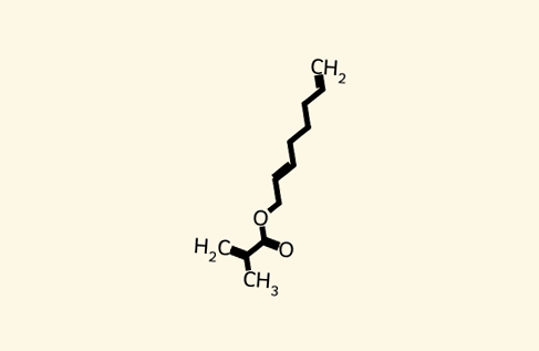 C=CCCC/C=C/COC(=O)C(=C)C